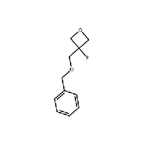 FC1(COCc2ccccc2)COC1